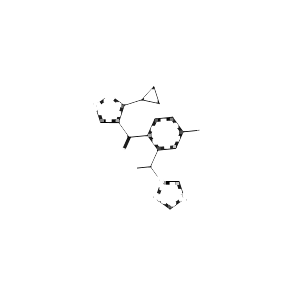 CC(c1cc(F)ccc1C(=O)c1cnoc1C1CC1)n1cncn1